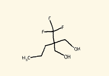 CCCC(CO)(CO)C(F)(F)F